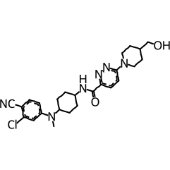 CN(c1ccc(C#N)c(Cl)c1)C1CCC(NC(=O)c2ccc(N3CCC(CO)CC3)nn2)CC1